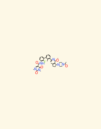 C=C(/N=C(/OC)C1=C(C)CCC1N1CCN(C(C)=O)CC1)c1cccc(-c2cccc(NC(=O)c3cn(C)c(=O)n(C)c3=O)c2F)c1C